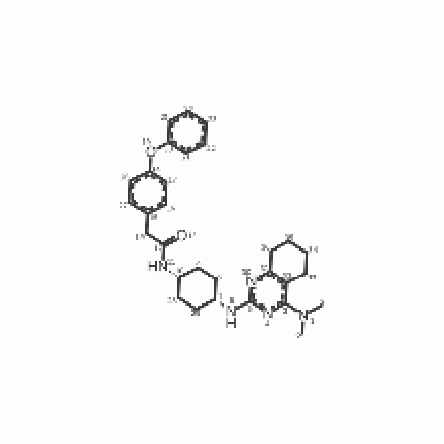 CN(C)c1nc(N[C@H]2CC[C@@H](NC(=O)Cc3ccc(Oc4ccccc4)cc3)CC2)nc2c1CCCC2